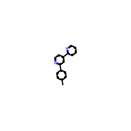 Cc1ccc(-c2cc(-c3ccccn3)ccn2)cc1